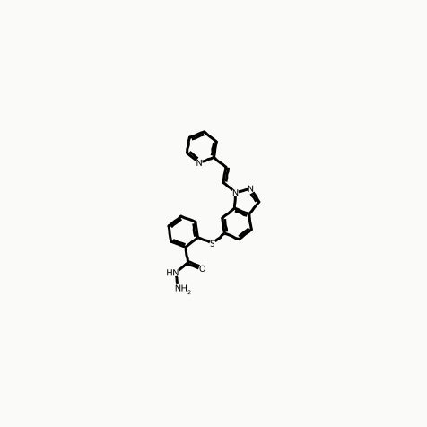 NNC(=O)c1ccccc1Sc1ccc2cnn(C=Cc3ccccn3)c2c1